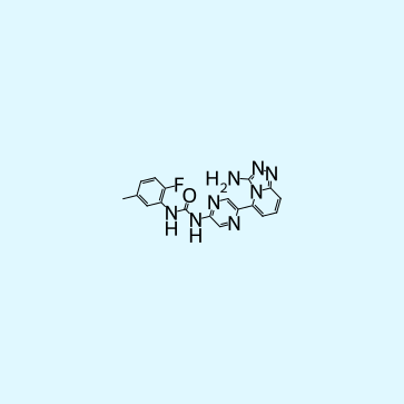 Cc1ccc(F)c(NC(=O)Nc2cnc(-c3cccc4nnc(N)n34)cn2)c1